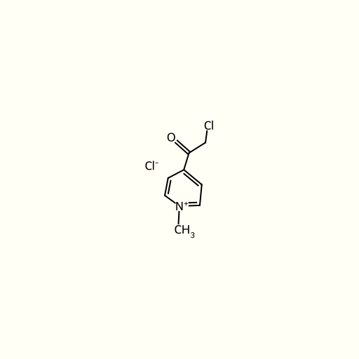 C[n+]1ccc(C(=O)CCl)cc1.[Cl-]